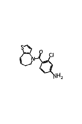 Nc1ccc(C(=O)N2CCC=Cc3sccc32)c(Cl)c1